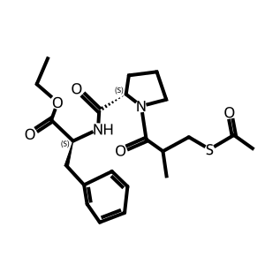 CCOC(=O)[C@H](Cc1ccccc1)NC(=O)[C@@H]1CCCN1C(=O)C(C)CSC(C)=O